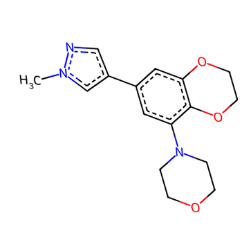 Cn1cc(-c2cc3c(c(N4CCOCC4)c2)OCCO3)cn1